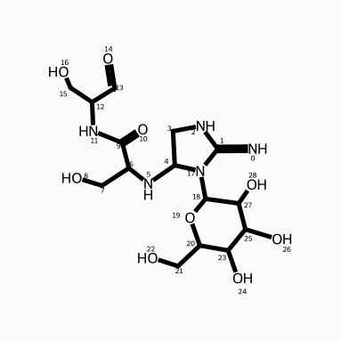 N=C1NCC(NC(CO)C(=O)NC([C]=O)CO)N1C1OC(CO)C(O)C(O)C1O